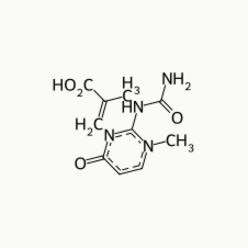 C=C(C)C(=O)O.Cn1ccc(=O)nc1NC(N)=O